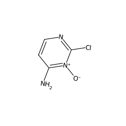 Nc1ccnc(Cl)[n+]1[O-]